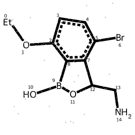 CCOc1ccc(Br)c2c1B(O)OC2CN